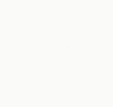 C=C1C#CC(=C)CC1